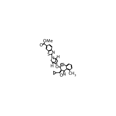 COC(=O)c1ccc2nc(N3C[C@@H]4C[C@H]3C[C@@H]4OC(=O)c3c(-c4c(C)cccc4Cl)noc3C3CC3)sc2c1